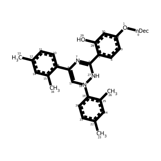 CCCCCCCCCCOc1ccc(C2=NC(c3ccc(C)cc3C)=CN(c3ccc(C)cc3C)N2)c(O)c1